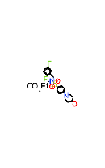 CCOC(=O)CN(Cc1cc(F)ccc1F)S(=O)(=O)c1ccc(N2CCC(=O)CC2)cc1